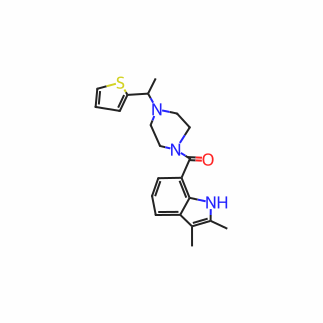 Cc1[nH]c2c(C(=O)N3CCN(C(C)c4cccs4)CC3)cccc2c1C